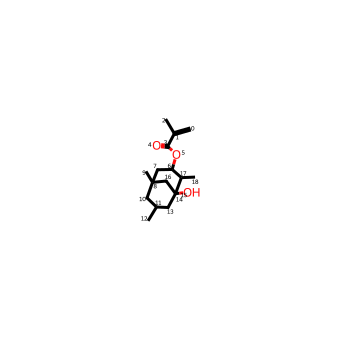 C=C(C)C(=O)OC1CC2(C)CC(C)CC(O)(C2)C1C